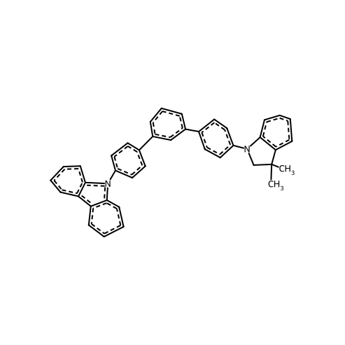 CC1(C)CN(c2ccc(-c3cccc(-c4ccc(-n5c6ccccc6c6ccccc65)cc4)c3)cc2)c2ccccc21